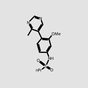 CCCS(=O)(=O)Nc1ccc(-c2cncnc2C)c(OC)c1